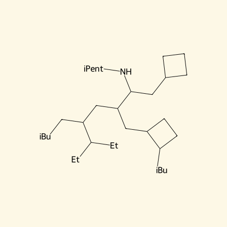 CCCC(C)NC(CC1CCC1)C(CC(CC(C)CC)C(CC)CC)CC1CCC1C(C)CC